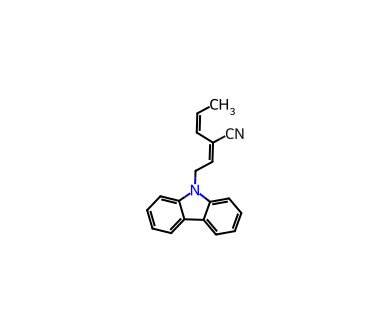 C/C=C\C(C#N)=C/Cn1c2ccccc2c2ccccc21